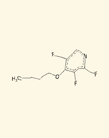 CCCCOc1c(F)cnc(F)c1F